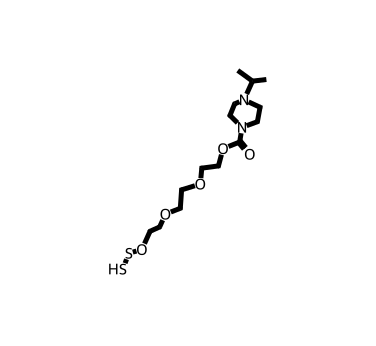 CC(C)N1CCN(C(=O)OCCOCCOCCOSS)CC1